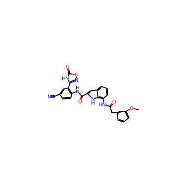 COc1cccc(CC(=O)Nc2cccc3cc(C(=O)Nc4ccc(C#N)cc4-c4noc(=O)[nH]4)[nH]c23)c1